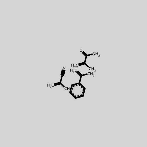 C=C(C)C#N.C=C(C)C(N)=O.C=C(C)c1ccccc1